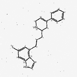 Fc1cc(CCCC2CC(c3ccccc3)=CCN2)c2cc[nH]c2c1